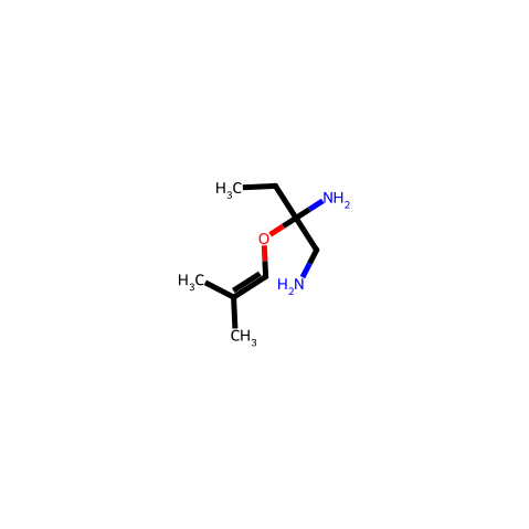 CCC(N)(CN)OC=C(C)C